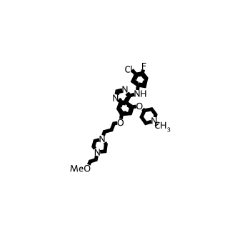 COCCN1CCN(CCCOc2cc(OC3CCN(C)CC3)c3c(Nc4ccc(F)c(Cl)c4)ncnc3c2)CC1